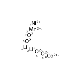 [Co+2].[Li+].[Li+].[Mn+2].[Ni+2].[O-2].[O-2].[O-2].[O-2]